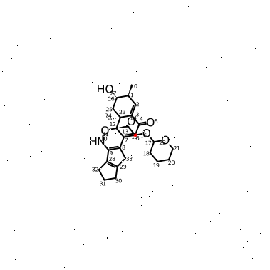 C[C@H]1C=C2C(=O)C=C3C4=C(NO[C@]3(C(=O)COC3CCCCO3)[C@@]2(C)C[C@@H]1O)C1=C(CCC1)C4